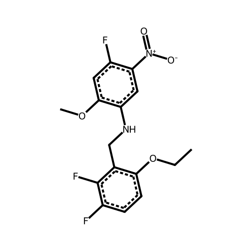 CCOc1ccc(F)c(F)c1CNc1cc([N+](=O)[O-])c(F)cc1OC